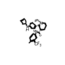 Cc1ccc(NC(=O)[C@H]2CCCN(C(C)C)[C@H]2c2ccc(NC3CCCC3)cc2)cc1C(F)(F)F